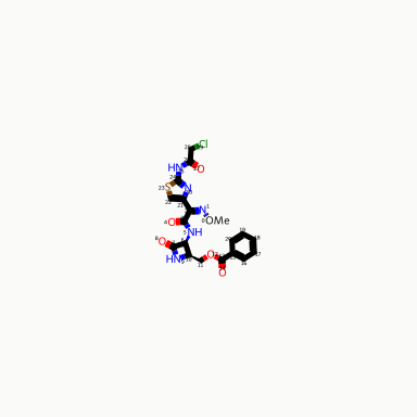 CON=C(C(=O)N[C@@H]1C(=O)N[C@@H]1COC(=O)c1ccccc1)c1csc(NC(=O)CCl)n1